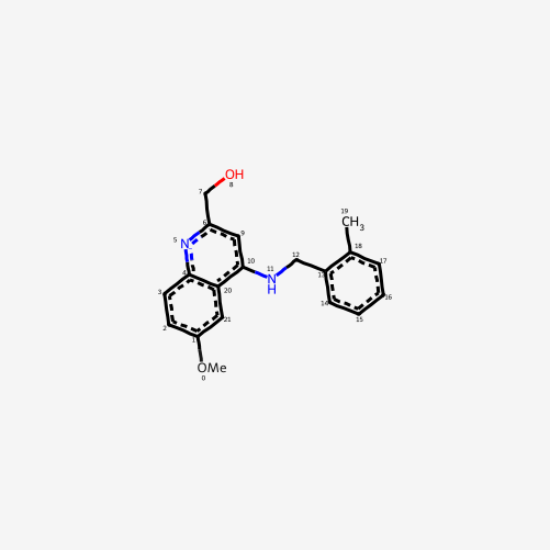 COc1ccc2nc(CO)cc(NCc3ccccc3C)c2c1